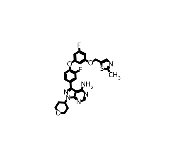 Cc1ncc(COc2cc(F)cc(Oc3ccc(-c4nn(C5CCOCC5)c5ncnc(N)c45)cc3F)c2)s1